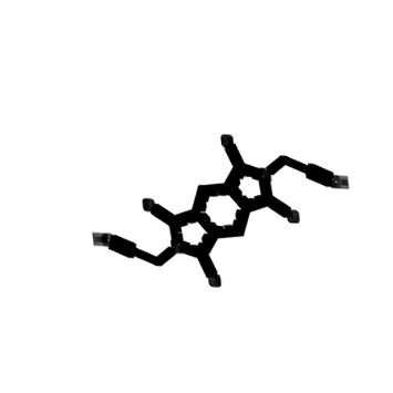 C#CCn1c(=O)c2cc3c(=O)n(CC#C)c(=O)c3cc2c1=O